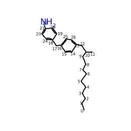 CCCCCCCCCCC(C)Cc1ccc(Cc2ccc(N)cc2)cc1